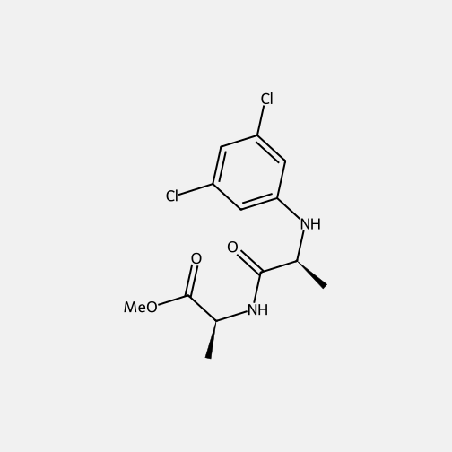 COC(=O)[C@H](C)NC(=O)[C@H](C)Nc1cc(Cl)cc(Cl)c1